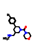 CCc1ccc(C2CC(CNC(=O)O)CN(C(=O)N3CCOCC3)C2)cc1